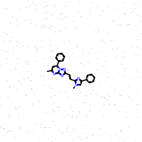 Cc1cc(-c2ccccc2)n2nc(C=Cc3nc(-c4ccccc4)cn3C)nc2n1